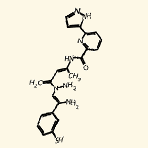 C=C(/C=C(\C)NC(=O)c1cccc(-c2ccn[nH]2)n1)N(N)/C=C(\N)c1cccc(S)c1